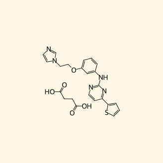 O=C(O)CCC(=O)O.c1cc(Nc2nccc(-c3cccs3)n2)cc(OCCn2ccnc2)c1